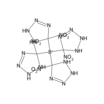 O=[N+]([O-])C1([B-](C2([N+](=O)[O-])N=NNN2)(C2([N+](=O)[O-])N=NNN2)C2([N+](=O)[O-])N=NNN2)N=NNN1